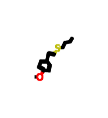 CCCCSC=Cc1ccc(OC)cc1